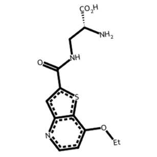 CCOc1ccnc2cc(C(=O)NC[C@@H](N)C(=O)O)sc12